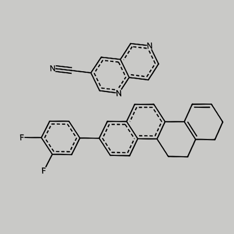 Fc1ccc(-c2ccc3c4c(ccc3c2)C2=C(CCC=C2)CC4)cc1F.N#Cc1cnc2ccncc2c1